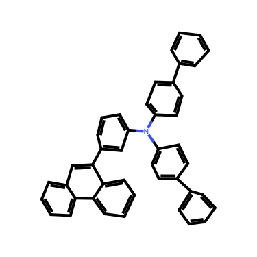 c1ccc(-c2ccc(N(c3ccc(-c4ccccc4)cc3)c3cccc(-c4cc5ccccc5c5ccccc45)c3)cc2)cc1